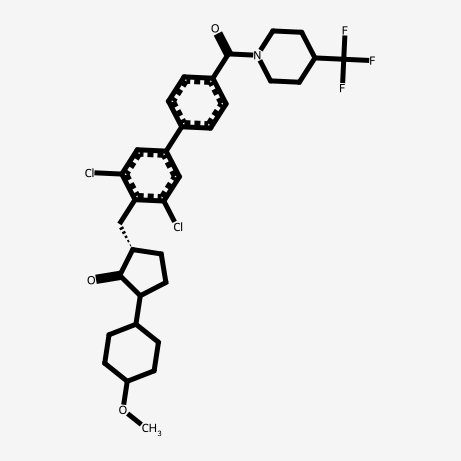 COC1CCC(C2CC[C@@H](Cc3c(Cl)cc(-c4ccc(C(=O)N5CCC(C(F)(F)F)CC5)cc4)cc3Cl)C2=O)CC1